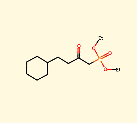 CCOP(=O)(CC(=O)CCC1CCCCC1)OCC